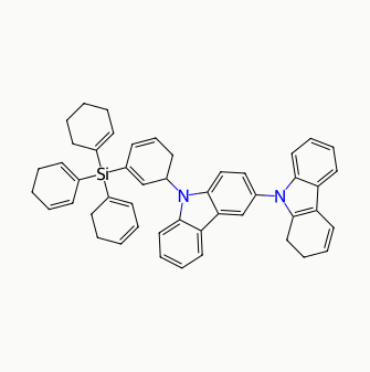 C1=CCCC([Si](C2=CCCC=C2)(C2=CC(n3c4ccccc4c4cc(-n5c6c(c7ccccc75)C=CCC6)ccc43)CC=C2)C2=CCCCC2)=C1